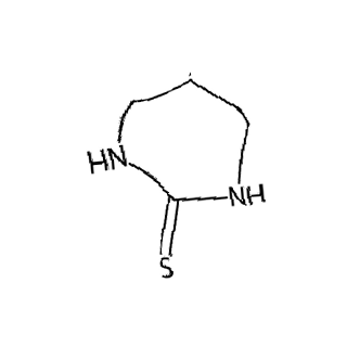 S=C1NC[CH]CN1